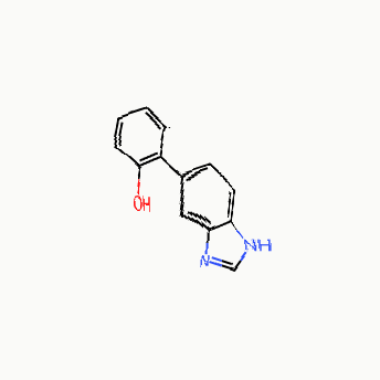 Oc1ccc[c]c1-c1ccc2[nH]cnc2c1